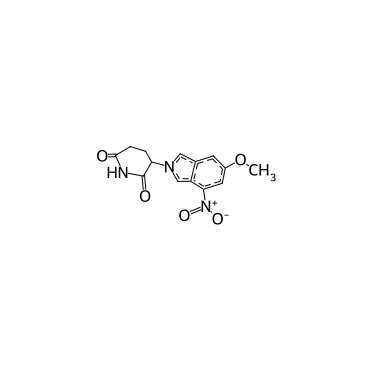 COc1cc([N+](=O)[O-])c2cn(C3CCC(=O)NC3=O)cc2c1